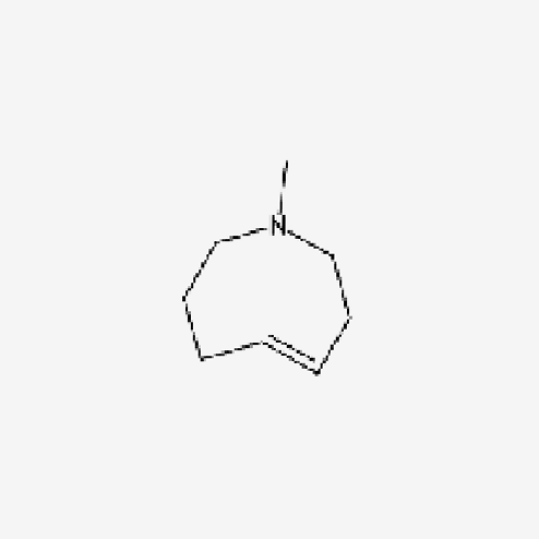 CN1CC/C=C/CCC1